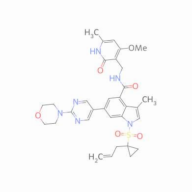 C=CCC1(S(=O)(=O)n2cc(C)c3c(C(=O)NCc4c(OC)cc(C)[nH]c4=O)cc(-c4cnc(N5CCOCC5)nc4)cc32)CC1